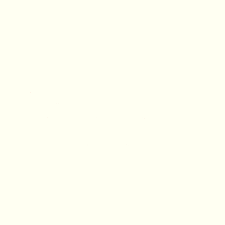 C/C=C1/C(=O)c2c(C)c3c(c(O)c2C(=O)/C1=C(/C)OC)C(OC)CC(C(=O)CC)C3